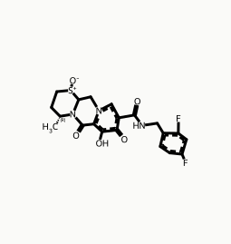 C[C@@H]1CC[S+]([O-])C2Cn3cc(C(=O)NCc4ccc(F)cc4F)c(=O)c(O)c3C(=O)N21